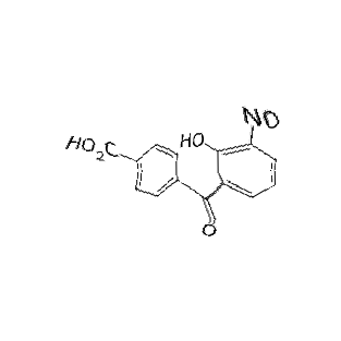 O=Nc1cccc(C(=O)c2ccc(C(=O)O)cc2)c1O